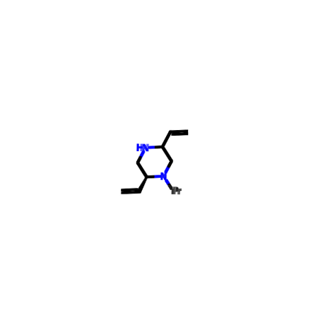 C=CC1CN(C(C)C)[C@@H](C=C)CN1